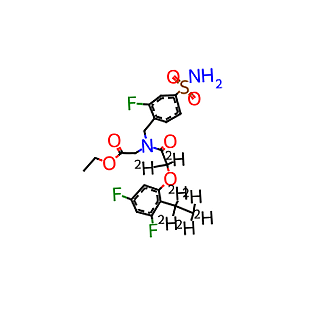 [2H]C([2H])(Oc1cc(F)cc(F)c1C([2H])([2H])C([2H])([2H])[2H])C(=O)N(CC(=O)OCC)Cc1ccc(S(N)(=O)=O)cc1F